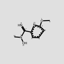 COc1cccc(C(=N)N(C)O)n1